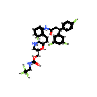 O=C(C[C@@H](c1ccc(F)cc1)c1cc(F)cc(F)c1)Nc1cccc(F)c1CC[C@@H]1CNC[C@@H](COC(=O)NCC(F)(F)F)O1